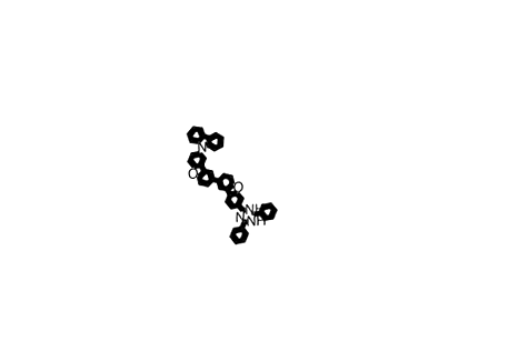 C1=C(c2ccc3oc4ccc(-n5c6ccccc6c6ccccc65)cc4c3c2)CCc2oc3cc(C4=NC(c5ccccc5)NC(c5ccccc5)N4)ccc3c21